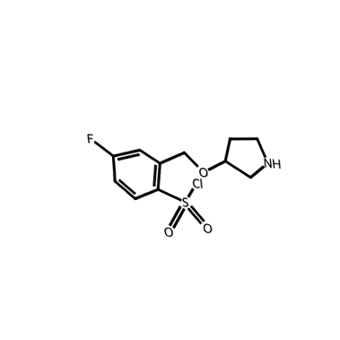 O=S(=O)(Cl)c1ccc(F)cc1COC1CCNC1